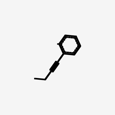 CCC#Cc1[c]cccc1